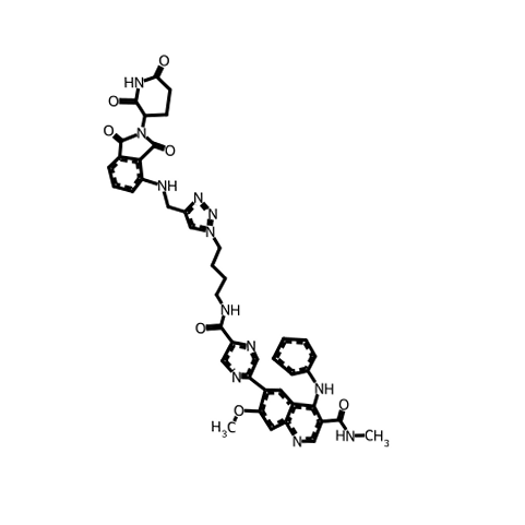 CNC(=O)c1cnc2cc(OC)c(-c3cnc(C(=O)NCCCCn4cc(CNc5cccc6c5C(=O)N(C5CCC(=O)NC5=O)C6=O)nn4)cn3)cc2c1Nc1ccccc1